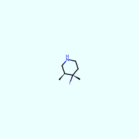 C[C@H]1CNCC[C@]1(C)I